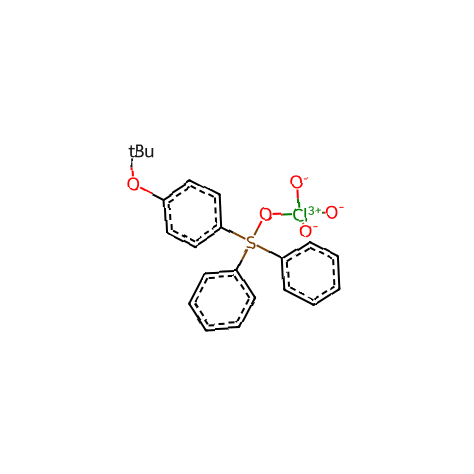 CC(C)(C)Oc1ccc(S(O[Cl+3]([O-])([O-])[O-])(c2ccccc2)c2ccccc2)cc1